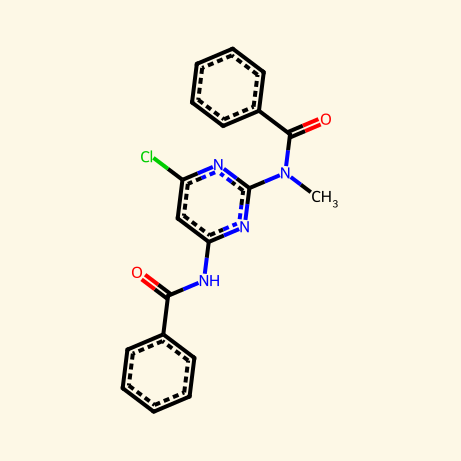 CN(C(=O)c1ccccc1)c1nc(Cl)cc(NC(=O)c2ccccc2)n1